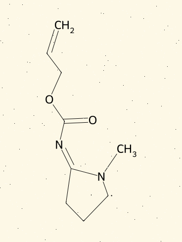 C=CCOC(=O)/N=C1/CC[CH]N1C